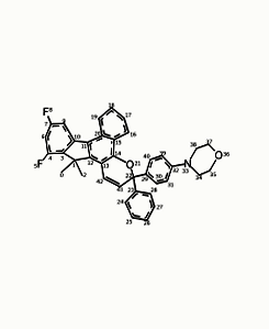 CC1(C)c2c(F)cc(F)cc2-c2c1c1c(c3ccccc23)OC(c2ccccc2)(c2ccc(N3CCOCC3)cc2)C=C1